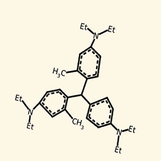 CCN(CC)c1ccc(C(c2ccc(N(CC)CC)cc2C)c2ccc(N(CC)CC)cc2C)cc1